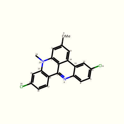 COc1cc2c3c(nc4ccc(Cl)cc4c3c1)-c1ccc(Cl)cc1N2C